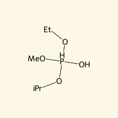 CCO[PH](O)(OC)OC(C)C